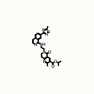 Cc1nc(-c2ccc3ccnc(NCCN4CCc5nc(C)c(C(=O)OC(C)C)cc5C4=O)c3c2)no1